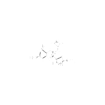 Cc1cc(C(=O)N(Cc2ccc(O)cc2F)CC2COC2)[nH]n1